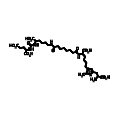 CN1NC(CC(N)C(=O)O)=CN1CCCCC(NC(=O)CCCCCCC(=O)NCCCCC(NC(=O)NC(CCC(=O)O)C(=O)O)C(=O)O)C(=O)O